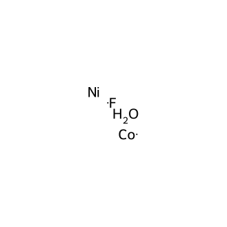 O.[Co].[F].[Ni]